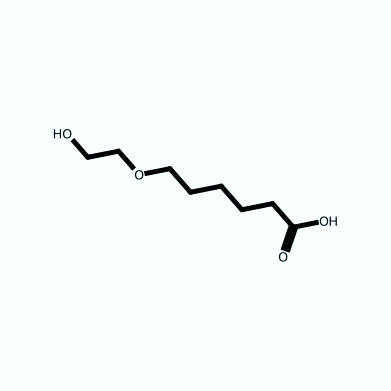 O=C(O)CCCCCOCCO